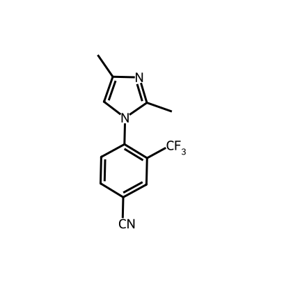 Cc1cn(-c2ccc(C#N)cc2C(F)(F)F)c(C)n1